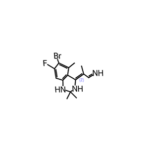 C/C(C=N)=C1/NC(C)(C)Nc2cc(F)c(Br)c(C)c21